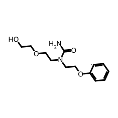 NC(=O)N(CCOCCO)CCOc1[c]cccc1